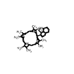 CC1=C(C)c2cc3[nH]c(c(C)c3C)c(-c3ccc4ccccc4c3CO)c3nc(cc4[nH]c(cc1n2)c(C)c4C)C(C)=C3C